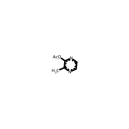 CC(=O)Oc1nccnc1C